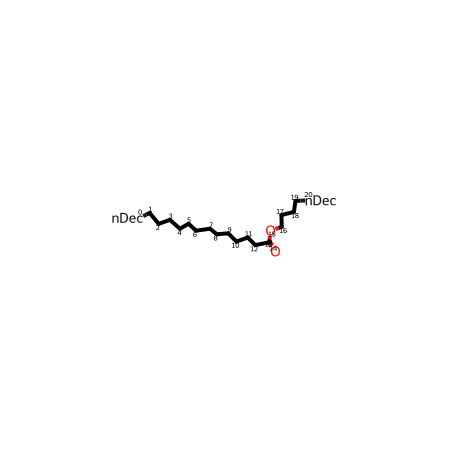 CCCCCCCCCCCCCCCCCCCCCCC(=O)OCCCCCCCCCCCCCC